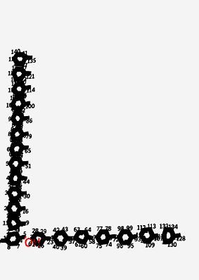 Cc1ccc(CO)cc1.Cc1ccccc1.Cc1ccccc1.Cc1ccccc1.Cc1ccccc1.Cc1ccccc1.Cc1ccccc1.Cc1ccccc1.Cc1ccccc1.Cc1ccccc1.Cc1ccccc1.Cc1ccccc1.Cc1ccccc1.Cc1ccccc1.Cc1ccccc1.Cc1ccccc1.Cc1ccccc1.Cc1ccccc1.Cc1ccccc1.Cc1ccccc1